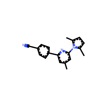 Cc1cc(-c2ccc(C#N)cc2)nc(-n2c(C)ccc2C)c1